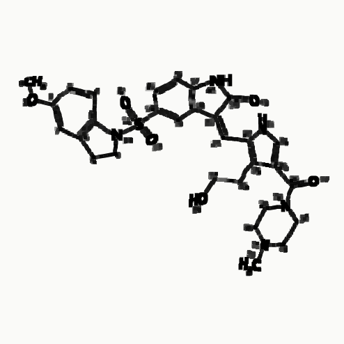 COc1ccc2c(c1)CCN2S(=O)(=O)c1ccc2c(c1)/C(=C/c1[nH]cc(C(=O)N3CCN(C)CC3)c1CCO)C(=O)N2